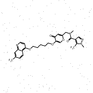 CN(Cc1cc(=O)c(OCCCCCSc2ccnc3cc(C(F)(F)F)ccc23)co1)C(=O)c1cnn(C)c1C(F)(F)F